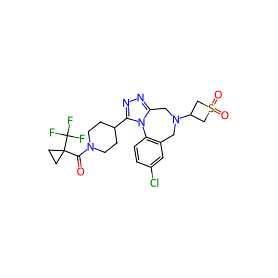 O=C(N1CCC(c2nnc3n2-c2ccc(Cl)cc2CN(C2CS(=O)(=O)C2)C3)CC1)C1(C(F)(F)F)CC1